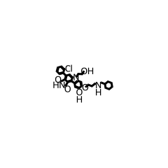 O=C1NC(=O)c2c1c(-c1ccccc1Cl)cc1c2c2cc(O)c(OCCCNCC3CCCCC3)cc2n1CCO